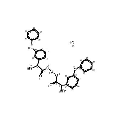 CCCC(C(=O)[O][Al+][O]C(=O)C(CCC)c1cccc(Oc2ccccc2)c1)c1cccc(Oc2ccccc2)c1.[OH-]